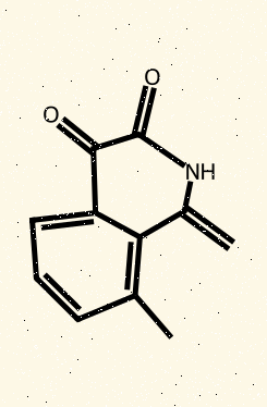 C=C1NC(=O)C(=O)c2cccc(C)c21